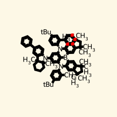 Cc1cc(C(C)(C)C)ccc1N1c2cc3c(cc2B2c4cc5c(cc4N(c4ccc(C(C)(C)C)cc4-c4ccccc4)c4cc(N6c7ccc(-c8ccccc8)cc7C7(C)CCCCC67C)cc1c42)C(C)(C)CC5(C)C)C(C)(C)CC3(C)C